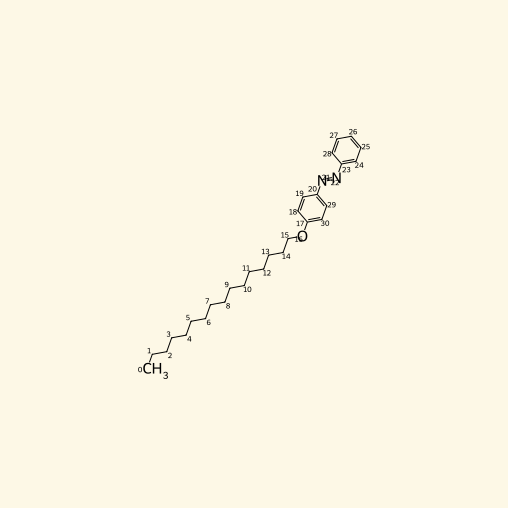 CCCCCCCCCCCCCCCCOc1ccc(/N=N/c2ccccc2)cc1